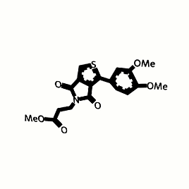 COC(=O)CCN1C(=O)c2csc(-c3ccc(OC)c(OC)c3)c2C1=O